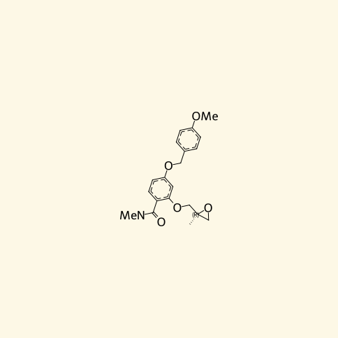 CNC(=O)c1ccc(OCc2ccc(OC)cc2)cc1OC[C@]1(C)CO1